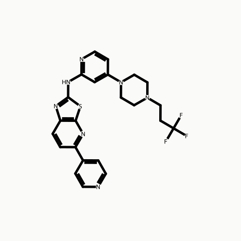 FC(F)(F)CCN1CCN(c2ccnc(Nc3nc4ccc(-c5ccncc5)nc4s3)c2)CC1